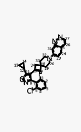 Fc1cccc(Cl)c1-c1noc(C2CC2)c1C1=CC2(CCN(c3ccc4ccnnc4c3)CC2)C1